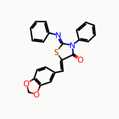 O=C1/C(=C/c2ccc3c(c2)OCO3)S/C(=N\c2ccccc2)N1c1ccccc1